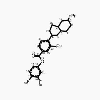 CCCC1CCC2CC(c3ccc(C(=O)Oc4ccc(F)c(F)c4)cc3F)CCC2C1